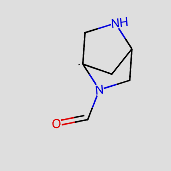 O=CN1CC2C[C]1CN2